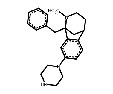 O=C(O)N1CCC2CC1(Cc1ccccc1)c1cc(N3CCNCC3)ccc12